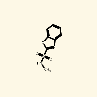 CNS(=O)(=O)c1nc2ccccc2o1